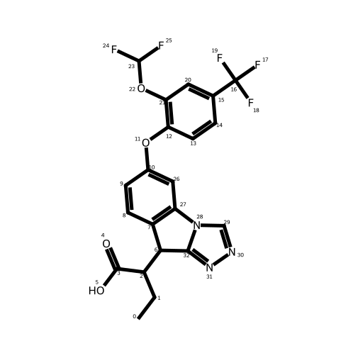 CCC(C(=O)O)C1c2ccc(Oc3ccc(C(F)(F)F)cc3OC(F)F)cc2-n2cnnc21